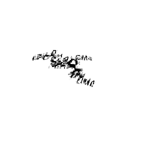 COCn1cc(-c2cc(OC)cc(S(=O)(=O)c3cnc(CNC(=O)OC(C)(C)C)s3)c2)cn1